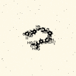 CC1(C)C[C@@H](Nc2cccc(-c3sc(C(=O)O)c(OCC(=O)O)c3Cl)c2)CCN1S(=O)(=O)Cc1cccc(NC(=O)C2CCN(C(=O)CNc3ccc4c(c3)CN(C3CCC(=O)NC3=O)C4=O)CC2)c1